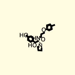 Cc1ccc(OCCC(=O)N[C@H](CN2CCCC2)[C@H](O)c2ccc(O)cc2)cc1